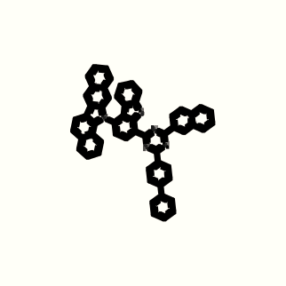 c1ccc(-c2ccc(-c3nc(-c4ccc5ccccc5c4)nc(-c4ccc(-n5c6cc7ccccc7cc6c6ccc7ccccc7c65)c5c4sc4ccccc45)n3)cc2)cc1